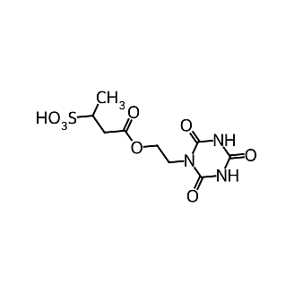 CC(CC(=O)OCCn1c(=O)[nH]c(=O)[nH]c1=O)S(=O)(=O)O